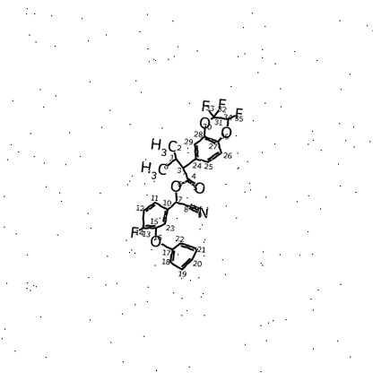 CC(C)C(C(=O)OC(C#N)c1ccc(F)c(Oc2ccccc2)c1)c1ccc2c(c1)OC(F)(F)C(F)O2